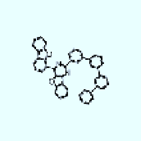 c1ccc(-c2cccc(-c3cccc(-c4cccc(-c5nc(-c6cccc7c6oc6ccccc67)c6oc7ccccc7c6n5)c4)c3)c2)cc1